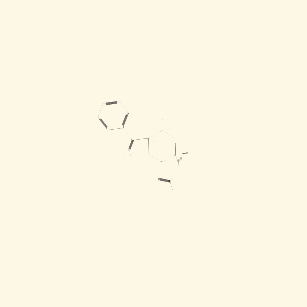 CC(=O)O[C@]1(C)CC[C@@](O)(C(=O)c2ccccc2)[C@H](C)O1